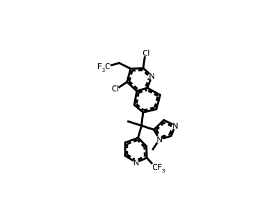 Cn1cncc1C(C)(c1ccnc(C(F)(F)F)c1)c1ccc2nc(Cl)c(CC(F)(F)F)c(Cl)c2c1